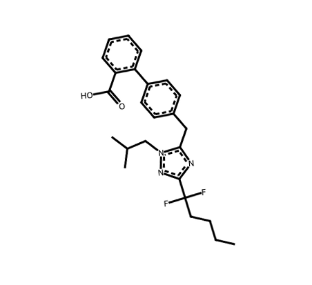 CCCCC(F)(F)c1nc(Cc2ccc(-c3ccccc3C(=O)O)cc2)n(CC(C)C)n1